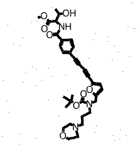 COC(=O)C(NC(=O)c1ccc(C#CC#Cc2ccc(CN(CCCN3CCOCC3)C(=O)OC(C)(C)C)o2)cc1)C(C)O